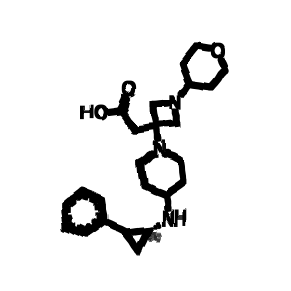 O=C(O)CC1(N2CCC(N[C@@H]3CC3c3ccccc3)CC2)CN(C2CCOCC2)C1